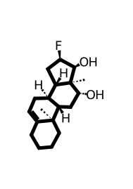 C[C@]12[C@H](O)C[C@H]3[C@@H](CC=C4CCCC[C@@]43C)[C@@H]1C[C@@H](F)[C@H]2O